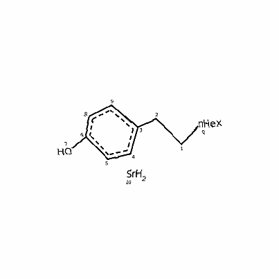 CCCCCCCCc1ccc(O)cc1.[SrH2]